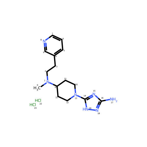 CN(CCc1cccnc1)C1CCN(c2nc(N)n[nH]2)CC1.Cl.Cl